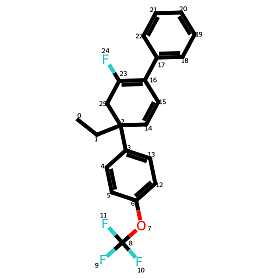 CCC1(c2ccc(OC(F)(F)F)cc2)C=CC(c2ccccc2)=C(F)C1